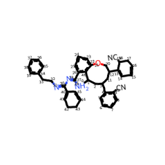 CC1CC(c2ccccc2C#N)CC(C2=CC=CCC2C#N)COc2cccc(/C(N)=N/C(=N\CCc3ccccc3)C3=CCCC=C3)c21